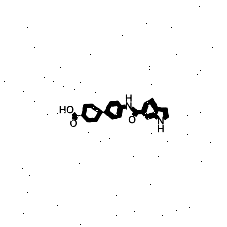 O=C(Nc1ccc([C@H]2CC[C@@H](C(=O)O)CC2)cc1)c1ccc2cc[nH]c2c1